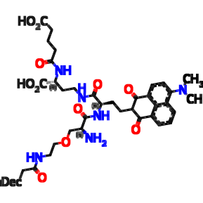 CCCCCCCCCCCC(=O)NCCOC[C@H](N)C(=O)N[C@H](CCC1C(=O)c2cccc3c(N(C)C)ccc(c23)C1=O)C(=O)NCC[C@@H](NC(=O)CCCC(=O)O)C(=O)O